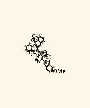 CCC(=O)c1c(NCc2ccc(OC)cc2)ncnc1NC(C)c1cc2cccc(Cl)c2c(=O)n1-c1ccccc1